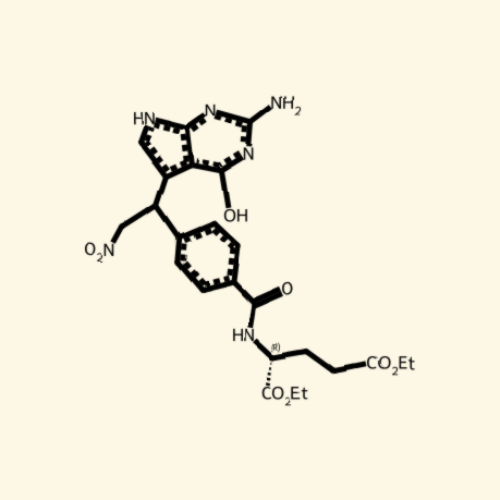 CCOC(=O)CC[C@@H](NC(=O)c1ccc(C(C[N+](=O)[O-])c2c[nH]c3nc(N)nc(O)c23)cc1)C(=O)OCC